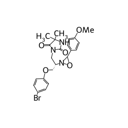 COc1ccc(C2ON2[C@H](COc2ccc(Br)cc2)CN2C(=O)NC(C)(C)C2=O)cc1